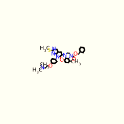 CSc1ncc2cc(N3CCN(C(=O)OCc4ccccc4)c4c(C)cccc43)c(=O)n(-c3ccc(OCCN(C)C)cc3)c2n1